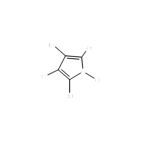 CCc1c(CC)c(CC)p(Cl)c1CC